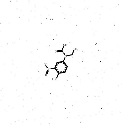 CCN(C(=O)O)c1ccc(C)c([N+](=O)[O-])c1